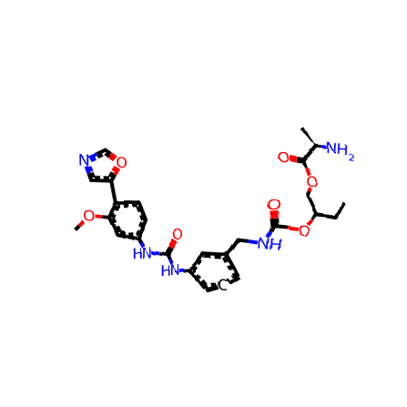 CCC(COC(=O)[C@@H](C)N)OC(=O)NCc1cccc(NC(=O)Nc2ccc(-c3cnco3)c(OC)c2)c1